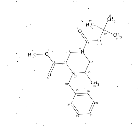 COC(=O)C1CN(C(=O)OC(C)(C)C)CC(C)N1Cc1ccccc1